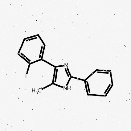 Cc1[nH]c(-c2ccccc2)nc1-c1ccccc1I